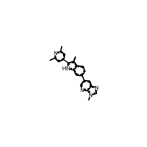 Cc1cc(-c2[nH]c3cc(-c4cnc5c(c4)ncn5C)ccc3c2C)cc(C)n1